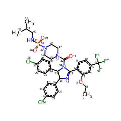 CCOc1cc(C(F)(F)F)ccc1C1=NC(c2ccc(Cl)cc2)C(c2ccc(Cl)cc2)N1C(=O)N1CCN(S(=O)(=O)NCC(C)C)CC1